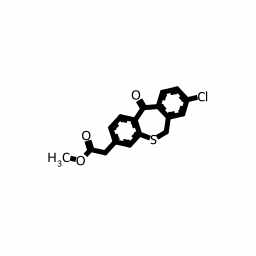 COC(=O)Cc1ccc2c(c1)SCc1cc(Cl)ccc1C2=O